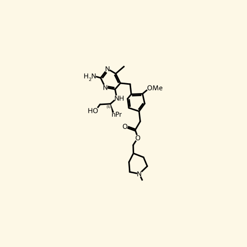 CCC[C@@H](CO)Nc1nc(N)nc(C)c1Cc1ccc(CC(=O)OCC2CCN(C)CC2)cc1OC